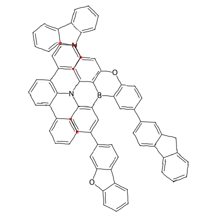 c1ccc(-c2cccc(-c3ccccc3)c2N2c3ccc(-c4ccc5c(c4)oc4ccccc45)cc3B3c4cc(-c5ccc6c(c5)Cc5ccccc5-6)ccc4Oc4cc(-n5c6ccccc6c6ccccc65)cc2c43)cc1